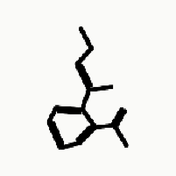 C=C(C)c1ccccc1/C(C)=C/CC